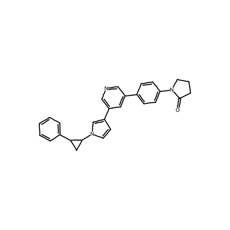 O=C1CCCN1c1ccc(-c2cncc(-c3ccn(C4CC4c4ccccc4)c3)c2)cc1